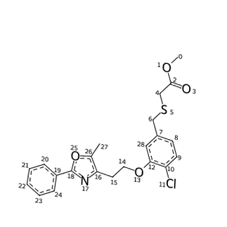 COC(=O)CSCc1ccc(Cl)c(OCCc2nc(-c3ccccc3)oc2C)c1